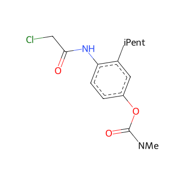 CCCC(C)c1cc(OC(=O)NC)ccc1NC(=O)CCl